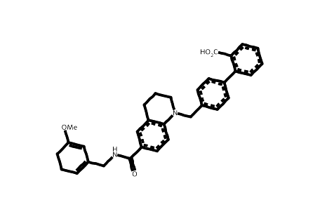 COC1=CC(CNC(=O)c2ccc3c(c2)CCCN3Cc2ccc(-c3ccccc3C(=O)O)cc2)=CCC1